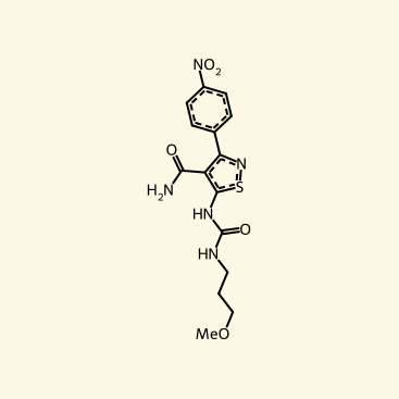 COCCCNC(=O)Nc1snc(-c2ccc([N+](=O)[O-])cc2)c1C(N)=O